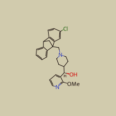 COc1ncccc1[C@H](O)C1CCN(CC23CC(c4ccccc42)c2ccc(Cl)cc23)CC1